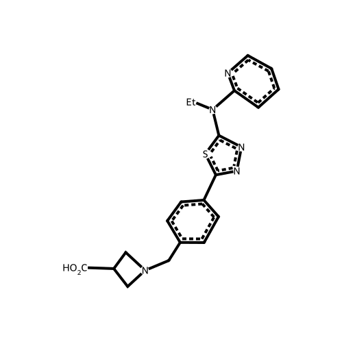 CCN(c1ccccn1)c1nnc(-c2ccc(CN3CC(C(=O)O)C3)cc2)s1